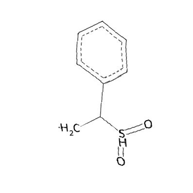 [CH2]C(c1ccccc1)[SH](=O)=O